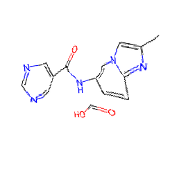 Cc1cn2cc(NC(=O)c3cncnc3)ccc2n1.O=CO